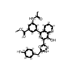 COC(=O)c1cc(NC(C)=O)cc(-c2nc(-c3nnc(Cc4ccc(F)cc4)o3)c(O)c3ncccc23)c1